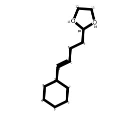 C(=CC1CCCCC1)CCC1OCCO1